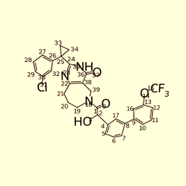 O=C(C(O)c1cccc(-c2cccc(OC(F)(F)F)c2)c1)N1CCCc2nc(C3(c4cccc(Cl)c4)CC3)[nH]c(=O)c2C1